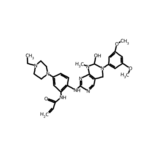 C=CC(=O)Nc1cc(N2CCN(CC)CC2)ccc1Nc1ncc2c(n1)N(C)C(O)N(c1cc(OC)cc(OC)c1)C2